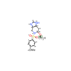 COc1ccc(S(=O)(=O)N2Cc3nc[nH]c3C[C@H]2OC(=O)O)cc1.Cl